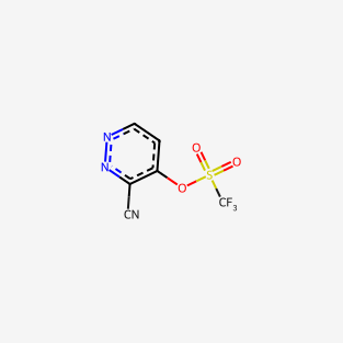 N#Cc1nnccc1OS(=O)(=O)C(F)(F)F